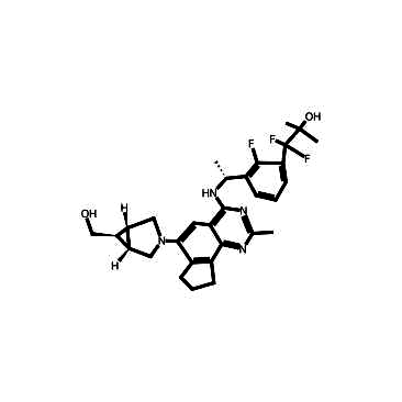 Cc1nc(N[C@H](C)c2cccc(C(F)(F)C(C)(C)O)c2F)c2cc(N3C[C@@H]4[C@@H](CO)[C@@H]4C3)c3c(c2n1)CCC3